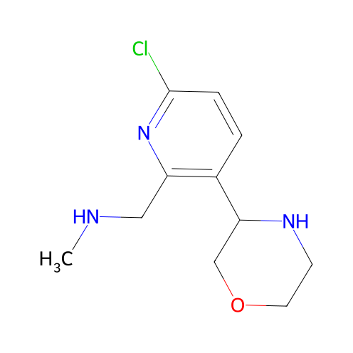 CNCc1nc(Cl)ccc1C1COCCN1